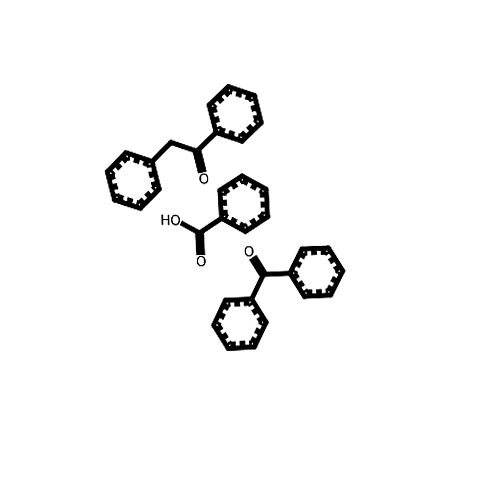 O=C(Cc1ccccc1)c1ccccc1.O=C(O)c1ccccc1.O=C(c1ccccc1)c1ccccc1